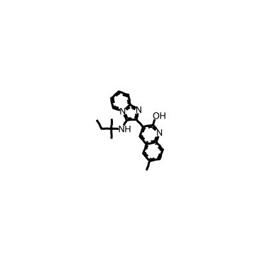 CCC(C)(C)Nc1c(-c2cc3cc(C)ccc3nc2O)nc2ccccn12